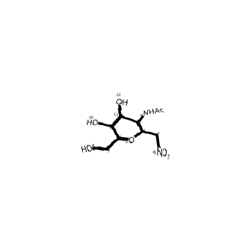 CC(=O)NC1C(C[N+](=O)[O-])OC(CO)C(O)C1O